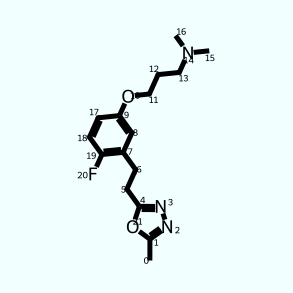 Cc1nnc(C[CH]c2cc(OCCCN(C)C)ccc2F)o1